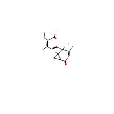 CCC(C(=O)O)=C(C)C=CC1(O)C(C)=CC(=O)C2CC21C